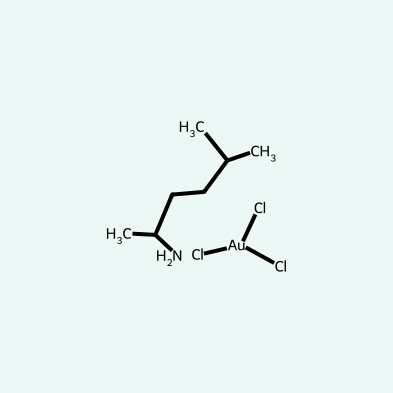 CC(C)CCC(C)N.[Cl][Au]([Cl])[Cl]